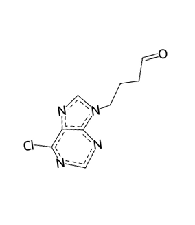 O=CCCCn1cnc2c(Cl)ncnc21